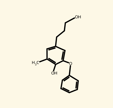 Cc1cc(CCCO)cc(Oc2ccccc2)c1O